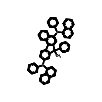 CC1(c2ccccc2)c2cc(N(c3ccccc3)c3cccc4ccccc34)ccc2-c2c1cc(N(c1ccccc1)c1cccc3ccccc13)c1ccccc21